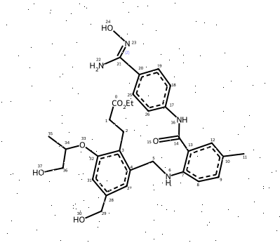 CCOC(=O)CCc1c(CNc2ccc(C)cc2C(=O)Nc2ccc(/C(N)=N/O)cc2)cc(CO)cc1OC(C)CO